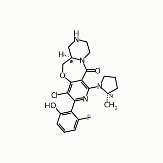 C[C@H]1CCCN1c1nc(-c2c(O)cccc2F)c(Cl)c2c1C(=O)N1CCNC[C@@H]1CO2